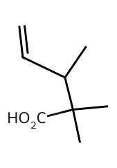 C=CC(C)C(C)(C)C(=O)O